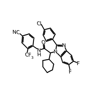 N#Cc1ccc(NC(=O)C(C2CCCCC2)n2c(-c3ccc(Cl)cc3)nc3cc(F)c(F)cc32)c(C(F)(F)F)c1